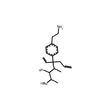 C=CCC(C=C)(c1ccc(CCN)cc1)C(C)C(CCC)C(C)CCCC